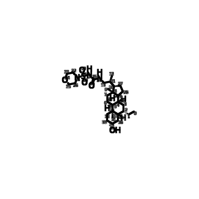 CC[C@H]1C[C@@H]2[C@H](CC[C@]3(C)[C@@H]([C@H](C)CNC(=O)NS(=O)(=O)N4CCOCC4)CC[C@@H]23)[C@@]2(C)CC[C@@H](O)C[C@@H]12